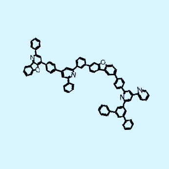 c1ccc(-c2cc(-c3ccccc3)cc(-c3cc(-c4ccccn4)cc(-c4ccc(-c5ccc6oc7cc(-c8cccc(-c9cc(-c%10ccc(-c%11cc(-c%12ccccc%12)nc%12c%11oc%11ccccc%11%12)cc%10)cc(-c%10ccccc%10)n9)c8)ccc7c6c5)cc4)n3)c2)cc1